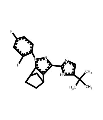 CC(C)(C)c1cnc(-c2nn(-c3ccc(F)cc3F)c3c2C2CCC3C2)[nH]1